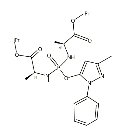 Cc1cc(OP(=O)(N[C@@H](C)C(=O)OC(C)C)N[C@@H](C)C(=O)OC(C)C)n(-c2ccccc2)n1